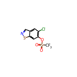 O=S(=O)(Oc1cc2sncc2cc1Cl)C(F)(F)F